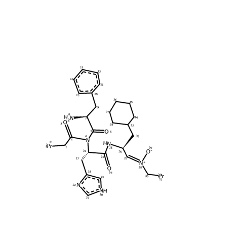 CC(C)CC(=O)N(C(=O)[C@@H](N)Cc1ccccc1)[C@@H](Cc1c[nH]cn1)C(=O)N[C@H](C=[N+]([O-])CC(C)C)CC1CCCCC1